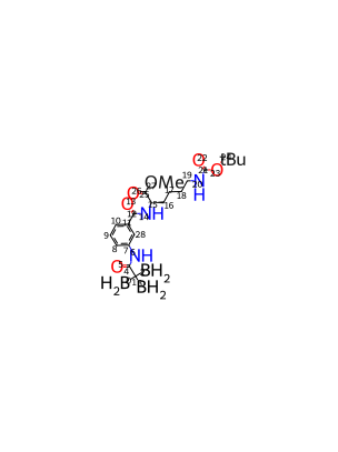 BC(B)(B)C(=O)Nc1cccc(C(=O)N[C@H](CCCCNC(=O)OC(C)(C)C)C(=O)OC)c1